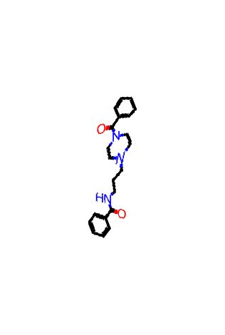 O=C(NCCCN1CCN(C(=O)c2ccccc2)CC1)c1ccccc1